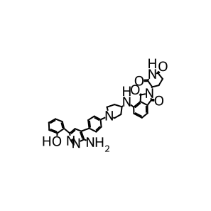 Nc1nnc(-c2ccccc2O)cc1-c1ccc(N2CCC(Nc3cccc4c3C(=O)N(C3CCC(=O)NC3=O)C4=O)CC2)cc1